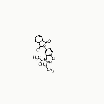 CCPN(c1cc(N2C(=O)C3C=CCCC3C2=O)ccc1Cl)C(C)C